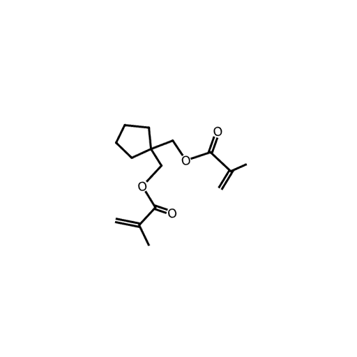 C=C(C)C(=O)OCC1(COC(=O)C(=C)C)CCCC1